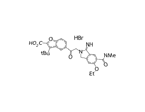 Br.CCOc1cc2c(cc1C(=O)NC)C(=N)N(CC(=O)c1ccc3oc(C(=O)O)c(C(C)(C)C)c3c1)C2